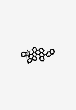 c1ccc(-n2c(-c3c4ccccc4c(-c4c5ccccc5c(-c5ccc6ccccc6c5)c5ccccc45)c4ccccc34)nc3ccccc32)cc1